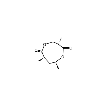 C[C@@H]1C[C@H](C)OC(=O)[C@@H](C)COC1=O